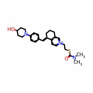 CN(C)C(=O)SCC[n+]1ccc2c(c1)CCC/C2=C\c1ccc(N2CCC(O)CC2)cc1